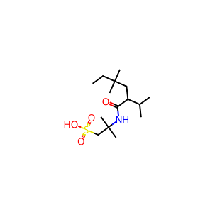 CCC(C)(C)CC(C(=O)NC(C)(C)CS(=O)(=O)O)C(C)C